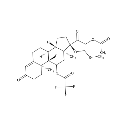 CSCO[C@]1(C(=O)COC(C)=O)CC[C@H]2[C@@H]3CCC4=CC(=O)CC[C@]4(C)[C@@]3(F)C(OC(=O)C(F)(F)F)C[C@@]21C